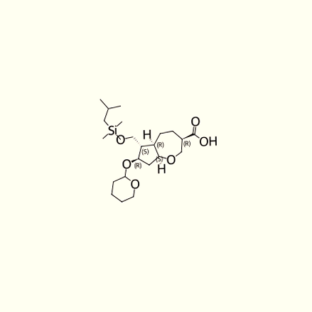 CC(C)C[Si](C)(C)OC[C@@H]1[C@H]2CC[C@@H](C(=O)O)CO[C@H]2C[C@H]1OC1CCCCO1